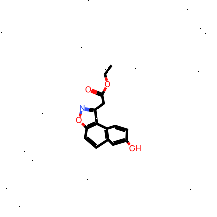 CCOC(=O)Cc1noc2ccc3cc(O)ccc3c12